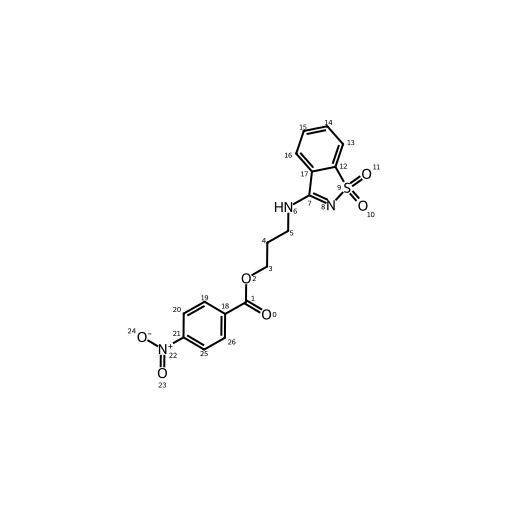 O=C(OCCCNC1=NS(=O)(=O)c2ccccc21)c1ccc([N+](=O)[O-])cc1